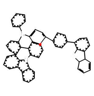 C1=CC2Oc3c(-c4ccc(C5=CC=C(N(c6ccccc6)c6ccccc6-c6ccccc6-n6c7ccccc7c7ccccc76)CC5)cc4)cccc3C2C=C1